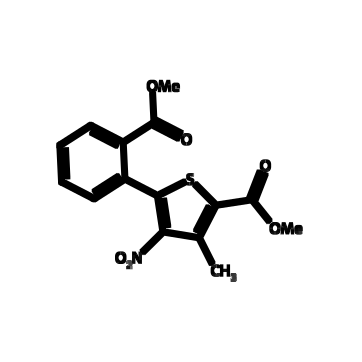 COC(=O)c1ccccc1-c1sc(C(=O)OC)c(C)c1[N+](=O)[O-]